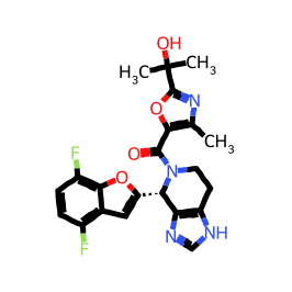 Cc1nc(C(C)(C)O)oc1C(=O)N1CCc2[nH]cnc2[C@@H]1c1cc2c(F)ccc(F)c2o1